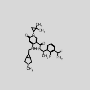 C[C@@H](NC(=O)c1cn([C@@H]2CC2(C)C)c(=O)cc1NCC1C2CN(C)CC12)c1cccc(C(F)P)c1F